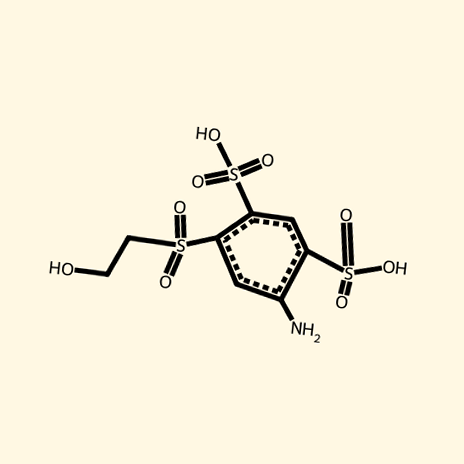 Nc1cc(S(=O)(=O)CCO)c(S(=O)(=O)O)cc1S(=O)(=O)O